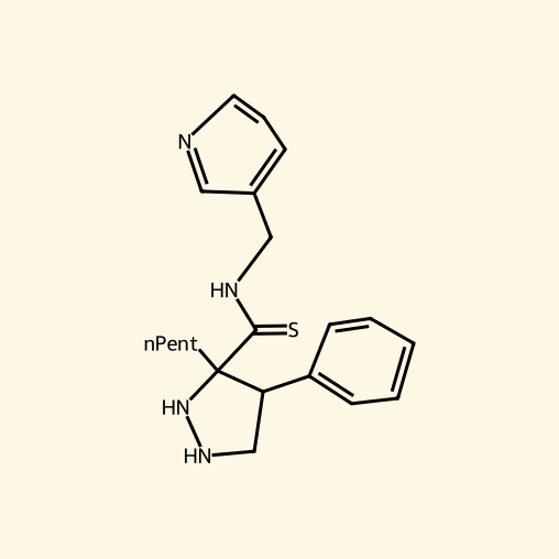 CCCCCC1(C(=S)NCc2cccnc2)NNCC1c1ccccc1